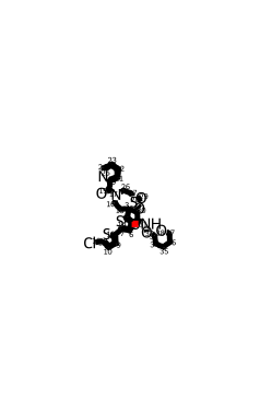 O=C(CC1(c2ccc(-c3ccc(Cl)s3)s2)CCN(C(=O)c2ccccn2)CCS1(=O)=O)NOC1CCCCO1